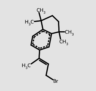 CC(=CCBr)c1ccc2c(c1)C(C)(C)CCC2(C)C